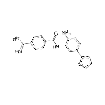 CCCC(=N)c1ccc(C(=O)Nc2cc(-c3cccs3)ccc2N)cc1